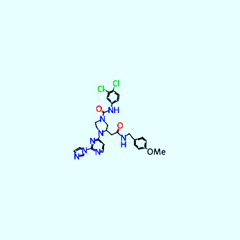 COc1ccc(CNC(=O)CC2CN(C(=O)Nc3ccc(Cl)c(Cl)c3)CCN2c2ccnc(-n3ccnc3)n2)cc1